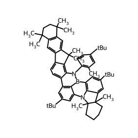 Cc1cc(C(C)(C)C)ccc1N1B2c3cc(C(C)(C)C)cc4c3N(c3cc(C(C)(C)C)cc(c32)-c2ccc3c(c21)C(C)(C)c1cc2c(cc1-3)C(C)(C)CCC2(C)C)C1(C)CCCCC41C